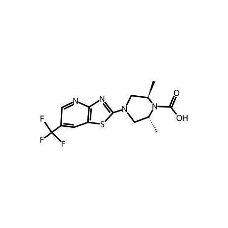 C[C@@H]1CN(c2nc3ncc(C(F)(F)F)cc3s2)C[C@@H](C)N1C(=O)O